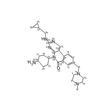 CN1CCN(Cc2ccc3c(c2)c(=O)n(C2CCC(N)CC2)c2nc(NCC4CC4)ncc32)CC1